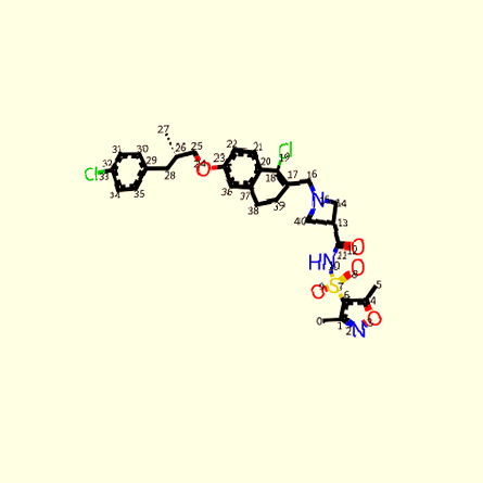 Cc1noc(C)c1S(=O)(=O)NC(=O)C1CN(CC2=C(Cl)c3ccc(OC[C@@H](C)Cc4ccc(Cl)cc4)cc3CC2)C1